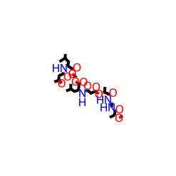 COC(C)C(=O)NCNC(=O)C(C)OC(=O)CC(=O)NC(CC(C)C)C(=O)OCOC(=O)C(CC(C)C)NC(=O)CC(C)=O